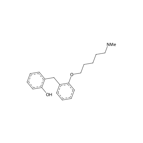 CNCCCCCOc1ccccc1Cc1ccccc1O